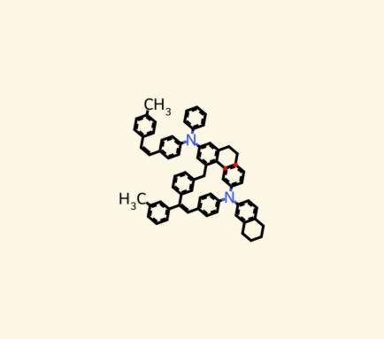 Cc1ccc(/C=C\c2ccc(N(c3ccccc3)c3cc4c(c(Cc5cccc(/C(=C\c6ccc(N(c7ccccc7)c7ccc8c(c7)CCCC8)cc6)c6cccc(C)c6)c5)c3)CCCC4)cc2)cc1